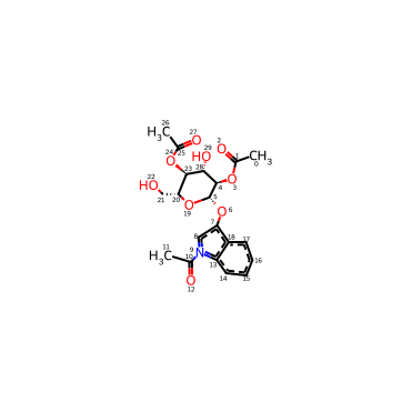 CC(=O)O[C@H]1[C@H](Oc2cn(C(C)=O)c3ccccc23)O[C@H](CO)[C@@H](OC(C)=O)[C@@H]1O